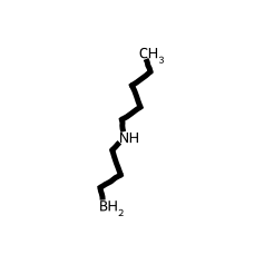 BCCCNCCCCC